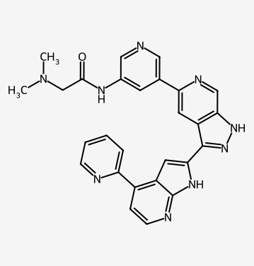 CN(C)CC(=O)Nc1cncc(-c2cc3c(-c4cc5c(-c6ccccn6)ccnc5[nH]4)n[nH]c3cn2)c1